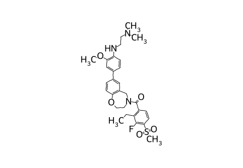 CCc1c(C(=O)N2CCOc3ccc(-c4ccc(NCCN(C)C)c(OC)c4)cc3C2)ccc(S(C)(=O)=O)c1F